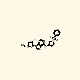 O=S(=O)(c1ccccc1)N1CCC(Nc2ncnc3c2ncn3[C@@H]2O[C@H](CO)C[C@H]2O)C1